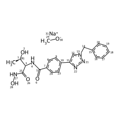 C[C@@H](O)C(NC(=O)c1ccc(-c2cn(Cc3ccccc3)nn2)cc1)C(=O)NO.C[O-].[Na+]